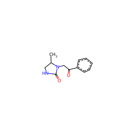 CC1CNC(=O)N1CC(=O)c1ccccc1